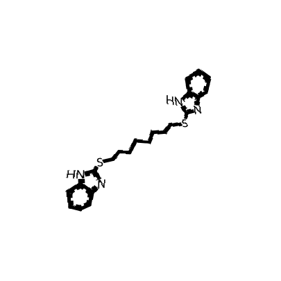 c1ccc2[nH]c(SCCCCCCCCSc3nc4ccccc4[nH]3)nc2c1